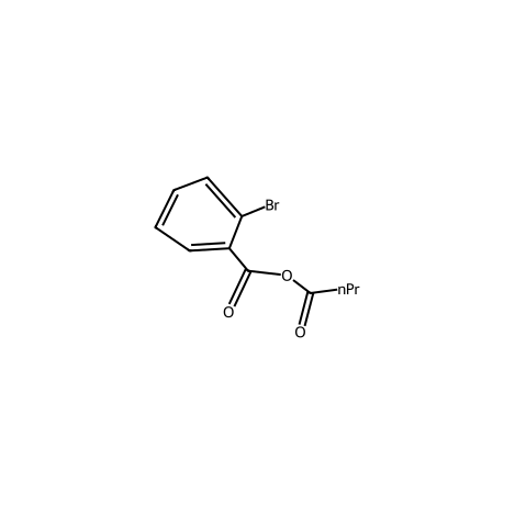 CCCC(=O)OC(=O)c1ccccc1Br